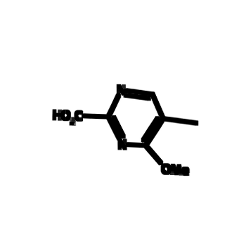 COc1nc(C(=O)O)ncc1C